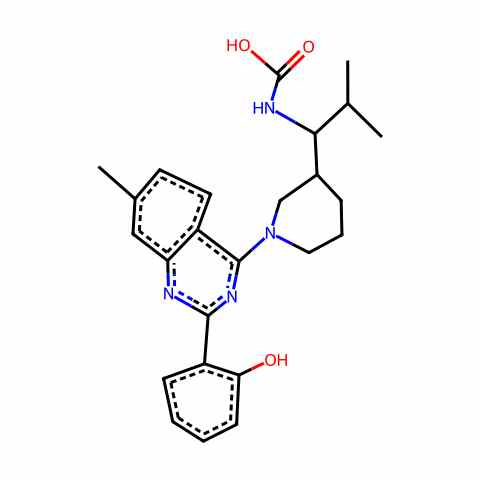 Cc1ccc2c(N3CCCC(C(NC(=O)O)C(C)C)C3)nc(-c3ccccc3O)nc2c1